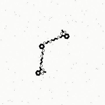 CC(=O)OC(COCCCCOCCOc1cccc(OCCOCCCCOCC(OC(C)=O)c2ccccc2)c1)c1ccccc1